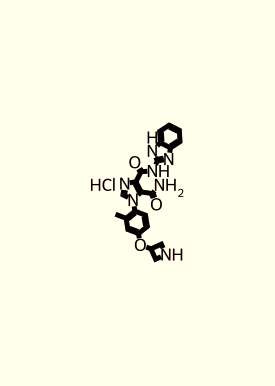 Cc1cc(OC2CNC2)ccc1-n1cnc(C(=O)Nc2nc3ccccc3[nH]2)c1C(N)=O.Cl